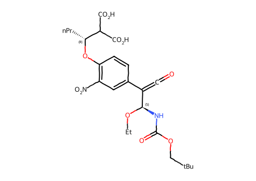 CCC[C@@H](Oc1ccc(C(=C=O)[C@@H](NC(=O)OCC(C)(C)C)OCC)cc1[N+](=O)[O-])C(C(=O)O)C(=O)O